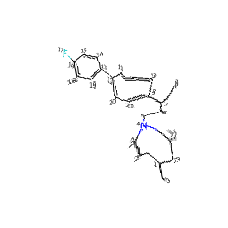 CC1CCN(CCC(C)c2ccc(-c3ccc(F)cc3)cc2)CC1